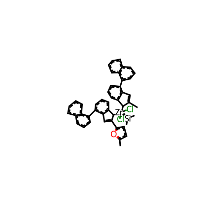 CC1=Cc2c(-c3cccc4ccccc34)cccc2[CH]1[Zr]([Cl])([Cl])([CH]1C(c2ccc(C)o2)=Cc2c(-c3cccc4ccccc34)cccc21)=[Si](C)C